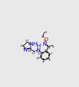 CCON=C(C)c1ccccc1NCC1=NCCN1